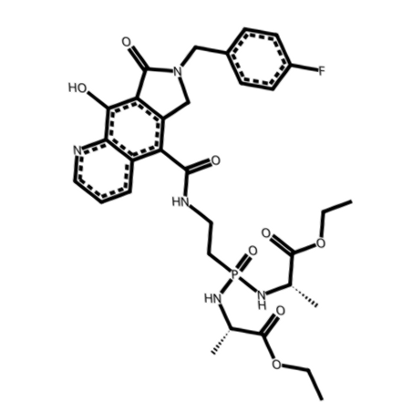 CCOC(=O)[C@H](C)NP(=O)(CCNC(=O)c1c2c(c(O)c3ncccc13)C(=O)N(Cc1ccc(F)cc1)C2)N[C@@H](C)C(=O)OCC